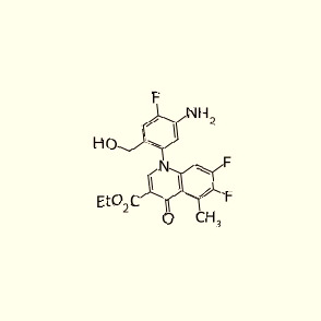 CCOC(=O)c1cn(-c2cc(N)c(F)cc2CO)c2cc(F)c(F)c(C)c2c1=O